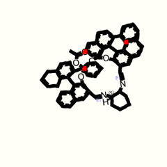 CC(=O)OC1CCOc2c(cc3ccccc3c2-c2c(-c3ccccc3)ccc3ccccc23)/C=N/C2CCCC[C@@H]2/N=C/c2cc3ccccc3c(-c3c(-c4ccccc4)ccc4c3CC=CC4)c2O1